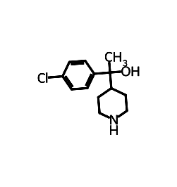 CC(O)(c1ccc(Cl)cc1)C1CCNCC1